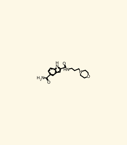 NC(=O)c1ccc2[nH]c(C(=O)NCCCN3CCOCC3)cc2c1